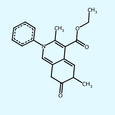 CCOC(=O)C1=C(C)N(c2ccccc2)C=C2CC(=O)C(C)C=C21